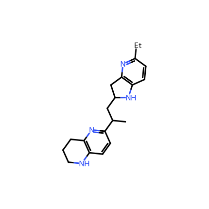 CCc1ccc2c(n1)CC(CC(C)c1ccc3c(n1)CCCN3)N2